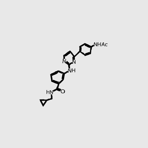 CC(=O)Nc1ccc(-c2ccnc(Nc3cccc(C(=O)NCC4CC4)c3)n2)cc1